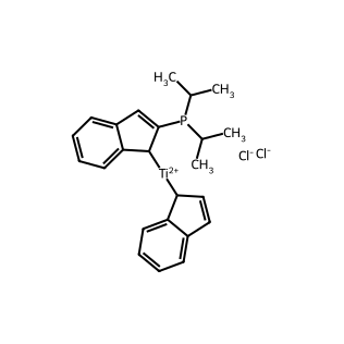 CC(C)P(C1=Cc2ccccc2[CH]1[Ti+2][CH]1C=Cc2ccccc21)C(C)C.[Cl-].[Cl-]